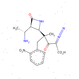 C[C@@H](N)[C@H]1C(=O)N[C@H]1C(C)(Cc1ccccc1[N+](=O)[O-])C(=O)C(=[N+]=[N-])C(=O)O